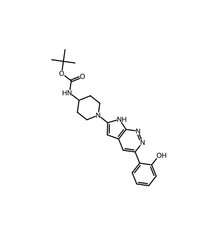 CC(C)(C)OC(=O)NC1CCN(c2cc3cc(-c4ccccc4O)nnc3[nH]2)CC1